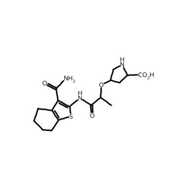 CC(OC1CNC(C(=O)O)C1)C(=O)Nc1sc2c(c1C(N)=O)CCCC2